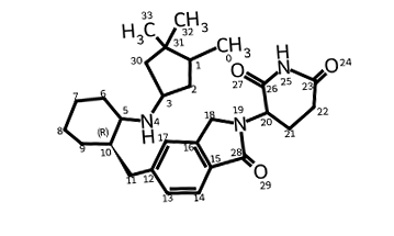 CC1CC(NC2CCCC[C@@H]2Cc2ccc3c(c2)CN(C2CCC(=O)NC2=O)C3=O)CC1(C)C